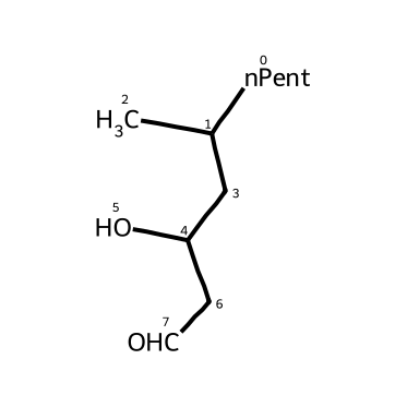 CCCCCC(C)CC(O)CC=O